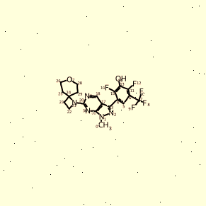 Cn1nc(-c2cc(C(F)(F)F)c(F)c(O)c2F)c2cnc(N3CCC34CCOCC4)nc21